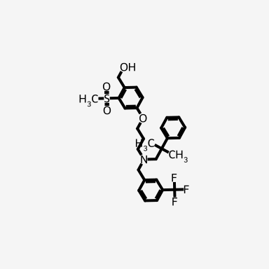 CC(C)(CN(CCCOc1ccc(CO)c(S(C)(=O)=O)c1)Cc1cccc(C(F)(F)F)c1)c1ccccc1